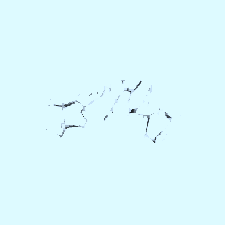 O=S(=O)(Nc1cc(F)c(C(F)(F)F)cc1F)c1c[nH]c(-c2ccccn2)c1